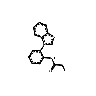 O=C(CCl)Nc1ccccc1-n1cnc2ccccc21